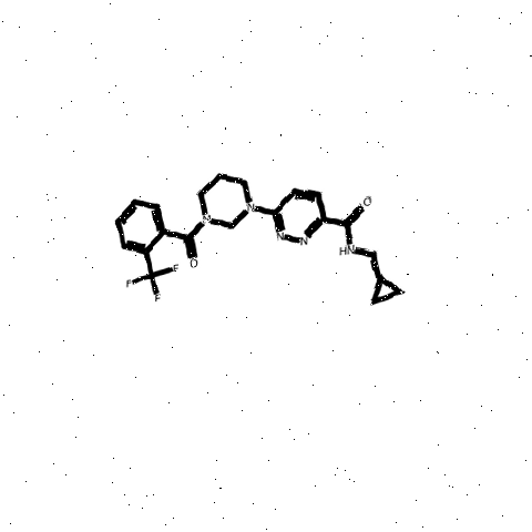 O=C(NCC1CC1)c1ccc(N2CCCN(C(=O)c3ccccc3C(F)(F)F)C2)nn1